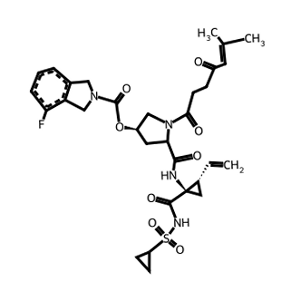 C=C[C@@H]1C[C@]1(NC(=O)C1C[C@@H](OC(=O)N2Cc3cccc(F)c3C2)CN1C(=O)CCC(=O)C=C(C)C)C(=O)NS(=O)(=O)C1CC1